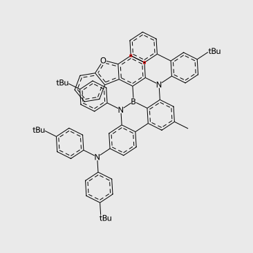 Cc1cc2c3c(c1)N(c1ccc(C(C)(C)C)cc1-c1ccccc1)c1ccc4oc5ccccc5c4c1B3N(c1ccc(C(C)(C)C)cc1)c1cc(N(c3ccc(C(C)(C)C)cc3)c3ccc(C(C)(C)C)cc3)ccc1-2